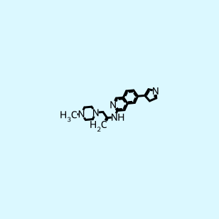 C=C(CN1CCN(C)CC1)Nc1cc2cc(C3=CN=CC3)ccc2cn1